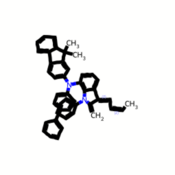 C=c1/c(=C\C=C/C)c2cccc(N(c3ccc(-c4ccccc4)cc3)c3ccc4c(c3)C(C)(C)c3ccccc3-4)c2n1-c1ccccc1